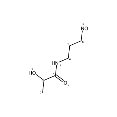 CC(O)C(=O)NCCCN=O